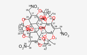 CC1(C)OC2=C(O1)C(C(C1C3=C(OC(C)(C)O3)C(C[N+](=O)[O-])=C3OC(C)(C)OC31CO)C1C3=C(OC(C)(C)O3)C(C[N+](=O)[O-])=C3OC(C)(C)OC31CO)C1(CO)OC(C)(C)OC1=C2C[N+](=O)[O-]